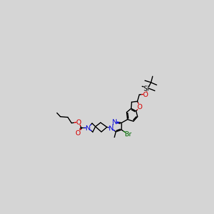 CCCCOC(=O)N1CC2(CC(n3nc(-c4ccc5c(c4)CC(CO[Si](C)(C)C(C)(C)C)O5)c(Br)c3C)C2)C1